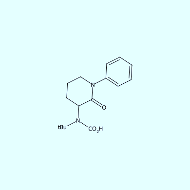 CC(C)(C)N(C(=O)O)C1CCCN(c2ccccc2)C1=O